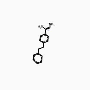 N/C=C(\N)c1ccc(CCc2ccccc2)cc1